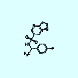 O=S(=O)(NC(c1ccc(F)cc1)C(F)(F)F)c1cnc2ccnn2c1